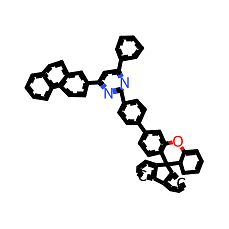 C1=CCC2C(=C1)Oc1cc(-c3ccc(-c4nc(-c5ccccc5)cc(-c5ccc6c(ccc7ccccc76)c5)n4)cc3)ccc1C21c2ccccc2-c2ccccc21